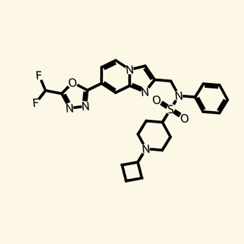 O=S(=O)(C1CCN(C2CCC2)CC1)N(Cc1cn2ccc(-c3nnc(C(F)F)o3)cc2n1)c1ccccc1